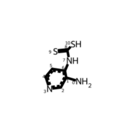 Nc1cnccc1NC(=S)S